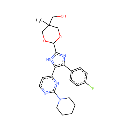 CC1(CO)COC(c2nc(-c3ccc(F)cc3)c(-c3ccnc(N4CCCCC4)n3)[nH]2)OC1